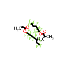 C=C(C)C(=O)OC(F)(F)C(F)(F)C(F)CC(F)(F)F.C=CC(=O)OC(F)(F)C(F)(F)C(F)(F)C(F)(F)C(F)CC(F)(F)F